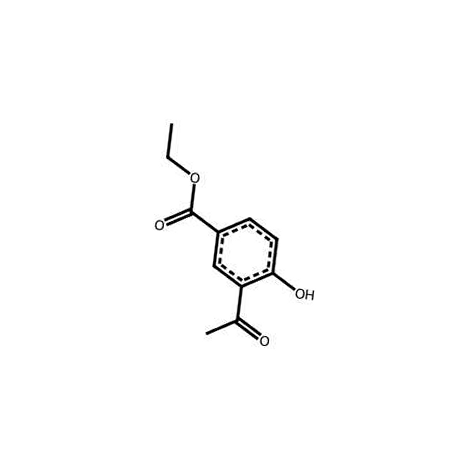 CCOC(=O)c1ccc(O)c(C(C)=O)c1